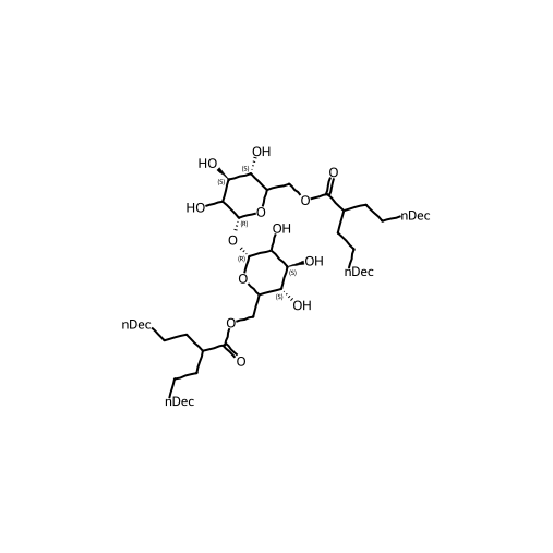 CCCCCCCCCCCCC(CCCCCCCCCCCC)C(=O)OCC1O[C@H](O[C@H]2OC(COC(=O)C(CCCCCCCCCCCC)CCCCCCCCCCCC)[C@@H](O)[C@H](O)C2O)C(O)[C@@H](O)[C@@H]1O